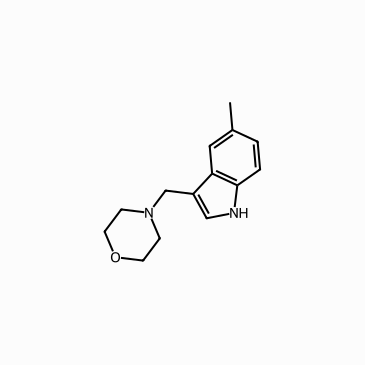 Cc1ccc2[nH]cc(CN3CCOCC3)c2c1